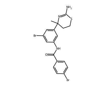 CC1(c2cc(Br)cc(NC(=O)c3ccc(Br)cc3)c2)CCSC(N)=N1